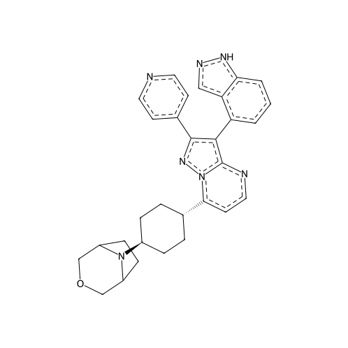 c1cc(-c2c(-c3ccncc3)nn3c2nccc3[C@H]2CC[C@H](N3C4CCC3COC4)CC2)c2cn[nH]c2c1